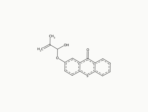 C=C(C)C(O)Oc1ccc2sc3ccccc3c(=O)c2c1